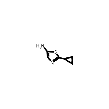 Nc1cnc(C2CC2)s1